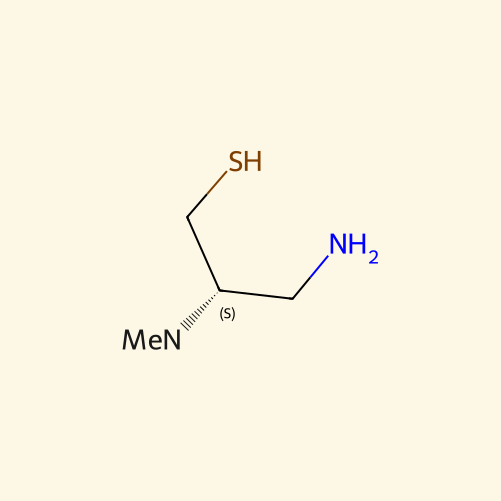 CN[C@@H](CN)CS